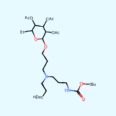 CCCCCCCCCCCCN(CCCNC(=O)OC(C)(C)C)CCCOC1OC(CC)C(OC(C)=O)C(OC(C)=O)C1OC(C)=O